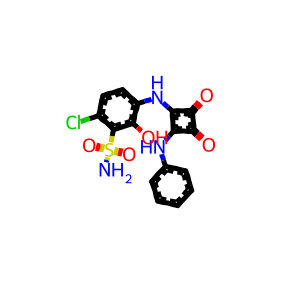 NS(=O)(=O)c1c(Cl)ccc(Nc2c(Nc3ccccc3)c(=O)c2=O)c1O